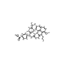 CCCC(c1c(OC)ccc2ccccc12)N1CCN(CC(c2ccc(C(=O)OC)cc2)N2CCN(C(C)C)CC2)CC1